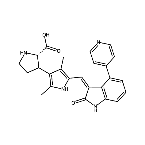 Cc1[nH]c(C=C2C(=O)Nc3cccc(-c4ccncc4)c32)c(C)c1C1CCN[C@@H]1C(=O)O